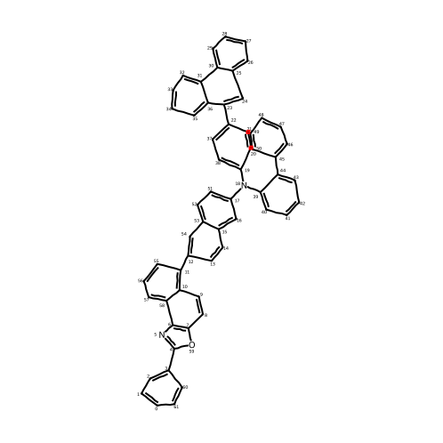 c1ccc(-c2nc3c(ccc4c(-c5ccc6cc(N(c7ccc(-c8cc9ccccc9c9ccccc89)cc7)c7ccccc7-c7ccccc7)ccc6c5)cccc43)o2)cc1